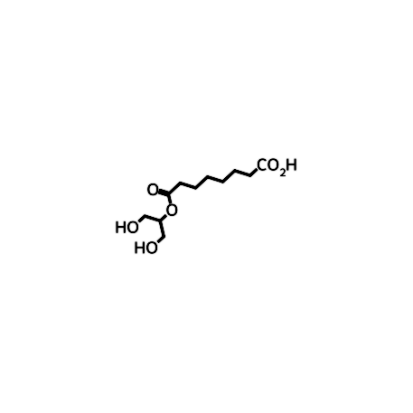 O=C(O)CCCCCCC(=O)OC(CO)CO